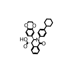 O=C(O)[C@H]1c2ccccc2C(=O)N(c2ccc(C3CCCCC3)cc2)[C@@H]1c1ccc2c(c1)OCCO2